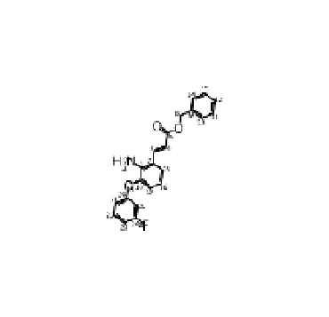 Nc1c(C=CC(=O)OCc2ccccc2)cccc1Oc1cccc(F)c1